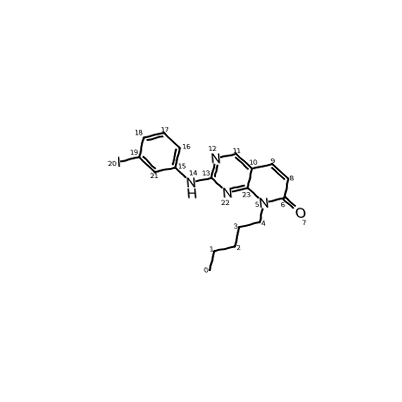 CCCCCn1c(=O)ccc2cnc(Nc3cccc(I)c3)nc21